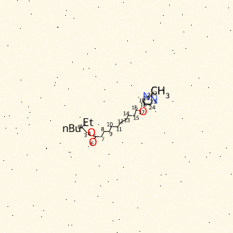 CCCCC(CC)COC(=O)CCCCCCCCCCOc1cnc(C)nc1